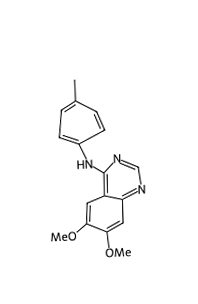 COc1cc2ncnc(Nc3ccc(C)cc3)c2cc1OC